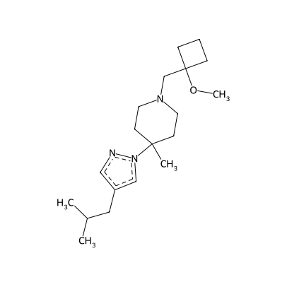 COC1(CN2CCC(C)(n3cc(CC(C)C)cn3)CC2)CCC1